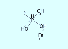 C[PH](O)(O)O.[Fe]